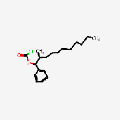 CCCCCCCCCC(C)C(OC(=O)Cl)c1ccccc1